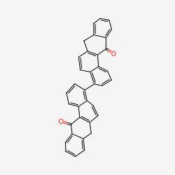 O=C1c2ccccc2Cc2ccc3c(-c4cccc5c6c(ccc45)Cc4ccccc4C6=O)cccc3c21